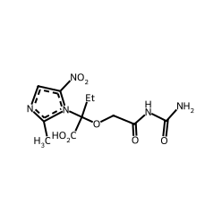 CCC(OCC(=O)NC(N)=O)(C(=O)O)n1c([N+](=O)[O-])cnc1C